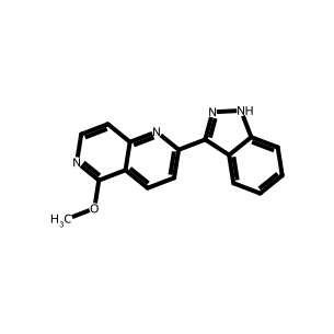 COc1nccc2nc(-c3n[nH]c4ccccc34)ccc12